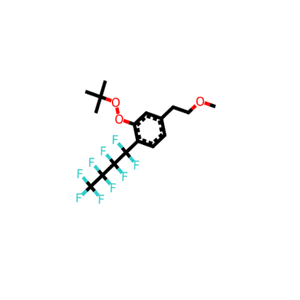 COCCc1ccc(C(F)(F)C(F)(F)C(F)(F)C(F)(F)F)c(OOC(C)(C)C)c1